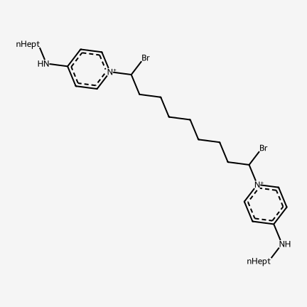 CCCCCCCNc1cc[n+](C(Br)CCCCCCCC(Br)[n+]2ccc(NCCCCCCC)cc2)cc1